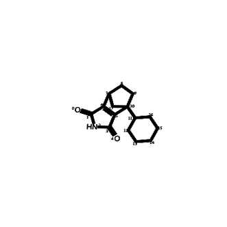 O=C1NC(=O)C2=C1C1CCC2(C2CCCCC2)C1